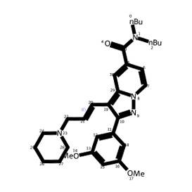 CCCCN(CCCC)C(=O)c1ccn2nc(-c3cc(OC)cc(OC)c3)c(/C=C/CN3CCCCC3)c2c1